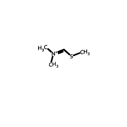 CSC=[N+](C)C